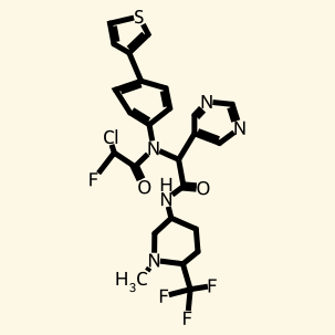 CN1CC(NC(=O)C(c2cncnc2)N(C(=O)C(F)Cl)c2ccc(-c3ccsc3)cc2)CCC1C(F)(F)F